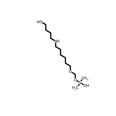 C[Si](C)(O)OCOCCCCCCNCCCCO